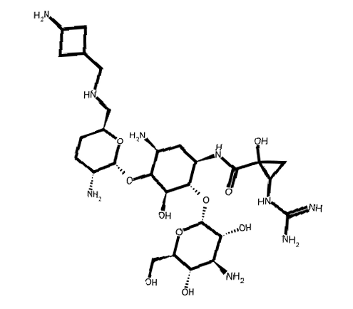 N=C(N)NC1CC1(O)C(=O)N[C@@H]1C[C@H](N)C(O[C@H]2O[C@H](CNCC3CC(N)C3)CC[C@H]2N)[C@H](O)[C@H]1O[C@H]1O[C@H](CO)[C@@H](O)[C@H](N)[C@H]1O